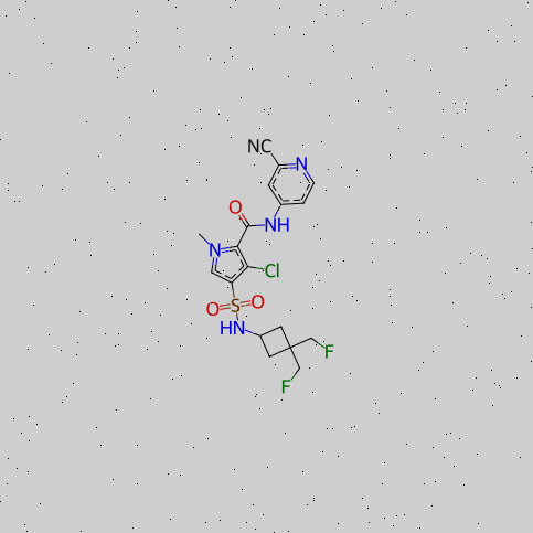 Cn1cc(S(=O)(=O)NC2CC(CF)(CF)C2)c(Cl)c1C(=O)Nc1ccnc(C#N)c1